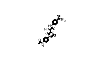 CC(=O)Nc1ccc(N2CCO[C@H]([C@@H](O)C(=O)Nc3ccc(C(=N)N)cc3)C2=O)cc1.Cl